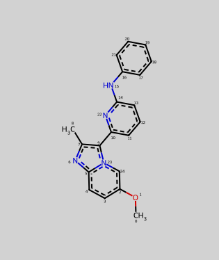 COc1ccc2nc(C)c(-c3cccc(Nc4ccccc4)n3)n2c1